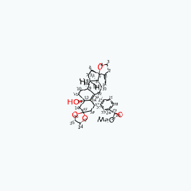 C=C1CCO[C@]12CC[C@H]1[C@@H]3CC[C@@]4(O)CC5(CCC4=C3[C@@H](c3ccc(C(=O)OC)cc3)C[C@@]12C)OCCO5